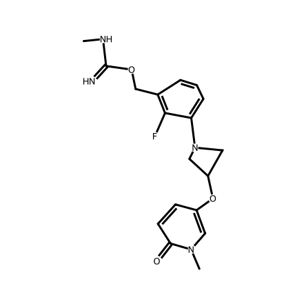 CNC(=N)OCc1cccc(N2CC(Oc3ccc(=O)n(C)c3)C2)c1F